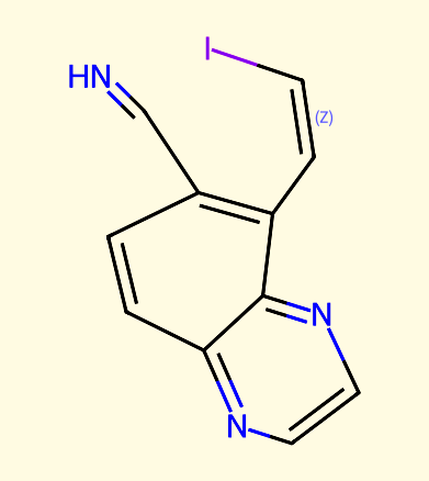 N=Cc1ccc2nccnc2c1/C=C\I